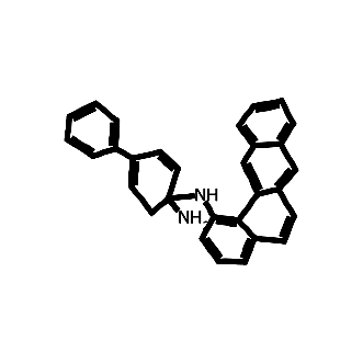 NC1(Nc2cccc3ccc4cc5ccccc5cc4c23)C=CC(c2ccccc2)=CC1